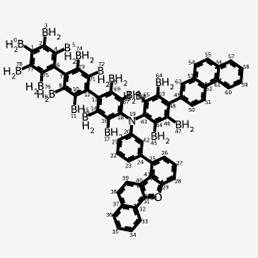 Bc1c(B)c(B)c(-c2c(B)c(B)c(-c3c(B)c(B)c(N(c4cccc(-c5cccc6oc7c8ccccc8ccc7c56)c4)c4c(B)c(B)c(-c5ccc6c(ccc7ccccc76)c5)c(B)c4B)c(B)c3B)c(B)c2B)c(B)c1B